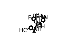 C#Cc1cccc(C2(NC[C@H](O)[C@H](Cc3cc(F)cc(F)c3)NC(=O)c3ccc4ncn(CCCC)c4c3)CC2)c1